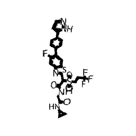 O=C(CNC(=O)C(c1nc2cc(F)c(-c3ccc(-c4ccn[nH]4)cc3)cc2s1)S(=O)(=O)CCC(F)(F)F)NC1CC1